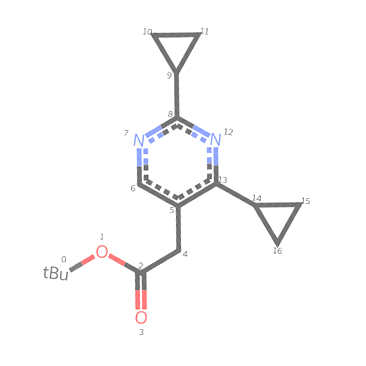 CC(C)(C)OC(=O)Cc1cnc(C2CC2)nc1C1CC1